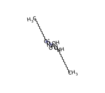 CCCCCCCCCCCCCCCCCCNc1ccc(C2=C(O)/C(=C3C=C/C(=[O+]\CCCCCCCCCCCCCCCCCC)C=N\3)C2=O)nc1